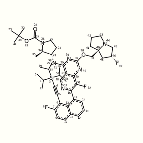 CC(C)[Si](C#Cc1c(F)ccc2cccc(-c3ncc4c(N(C)[C@H]5CCN(C(=O)OC(C)(C)C)[C@@H]5C)nc(OC[C@@]56CCCN5C[C@H](F)C6)nc4c3F)c12)(C(C)C)C(C)C